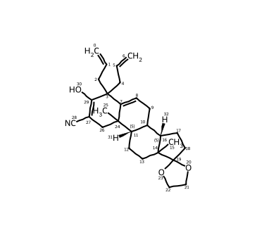 C=CCC1(CC=C)C2=CCC3[C@H](CCC4(C)[C@H]3CCC43OCCO3)C2(C)CC(C#N)=C1O